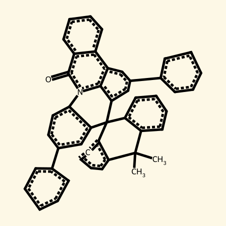 CC1(C)c2ccccc2C2(c3cc(-c4ccccc4)ccc3-n3c(=O)c4ccccc4c4cc(-c5ccccc5)cc2c43)c2ccccc21